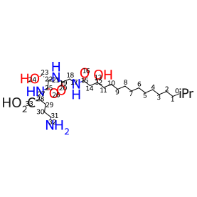 CC(C)CCCCCCCCCCCC(O)CC(=O)NCC(=O)N[C@@H](CO)C(=O)N[C@@H](CCCN)C(=O)O